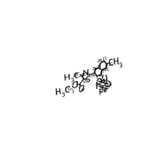 CCOC(=O)c1sc(-c2cc(OS(=O)(=O)C(F)(F)F)c3cc(C)ccc3c2)nc1C